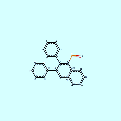 O=Pc1c(-c2ccccc2)c(-c2ccccc2)cc2ccccc12